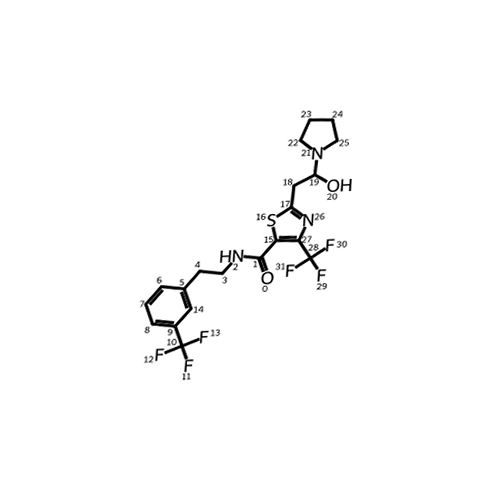 O=C(NCCc1cccc(C(F)(F)F)c1)c1sc(CC(O)N2CCCC2)nc1C(F)(F)F